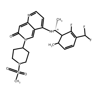 CC1C=CC(C(F)F)=C(F)C1[C@@H](C)Nc1ccnc2cc(=O)n(C3CCN(S(C)(=O)=O)CC3)cc12